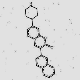 O=c1oc2cc(N3CCNCC3)ccc2cc1-c1ccc2ccccc2c1